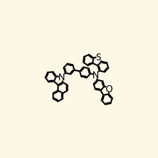 c1cc(-c2ccc(N(c3ccc4c(c3)oc3ccccc34)c3cccc4sc5ccccc5c34)cc2)cc(-n2c3ccccc3c3c4ccccc4ccc32)c1